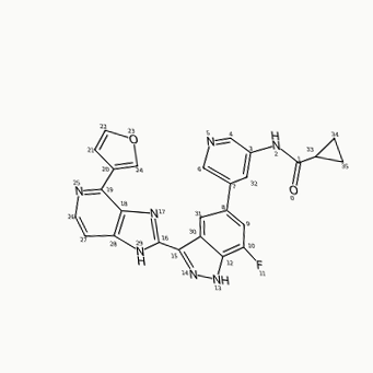 O=C(Nc1cncc(-c2cc(F)c3[nH]nc(-c4nc5c(-c6ccoc6)nccc5[nH]4)c3c2)c1)C1CC1